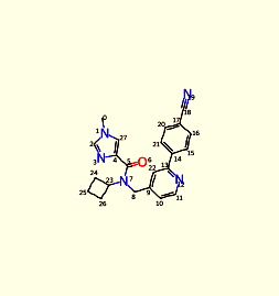 Cn1cnc(C(=O)N(Cc2ccnc(-c3ccc(C#N)cc3)c2)C2CCC2)c1